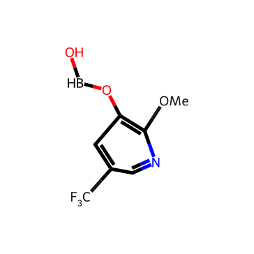 COc1ncc(C(F)(F)F)cc1OBO